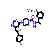 COc1cccc(C(C)NC(=O)N2CCN(c3ncnc4cc(-c5ccc(F)cc5)sc34)C[C@H]2C)c1